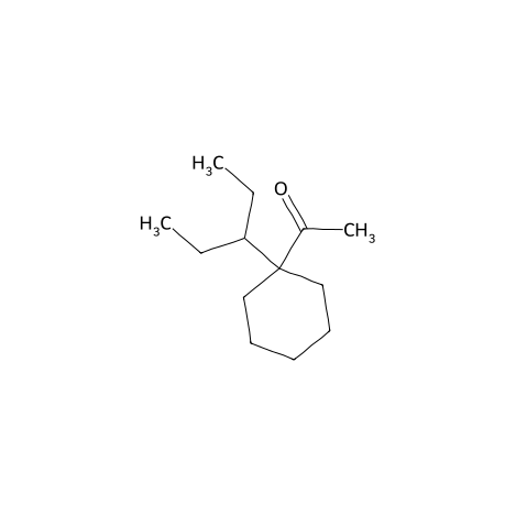 CCC(CC)C1(C(C)=O)CCCCC1